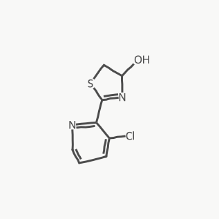 OC1CSC(c2ncccc2Cl)=N1